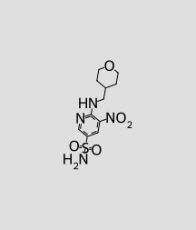 NS(=O)(=O)c1cnc(NCC2CCOCC2)c([N+](=O)[O-])c1